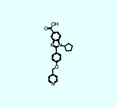 O=C(O)c1ccc2c(c1)nc(-c1ccc(OCc3ccncc3)cc1)n2C1CCCC1